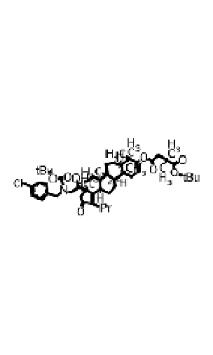 CC(C)C1=C2[C@H]3CC[C@@H]4[C@@]5(C)CC[C@H](OC(=O)CC(C)(C)C(=O)OC(C)(C)C)C(C)(C)[C@H]5CC[C@@]4(C)[C@]3(C)CC[C@@]2([C@H](O)CN(Cc2ccc(Cl)cc2)C(=O)OC(C)(C)C)CC1=O